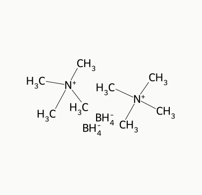 C[N+](C)(C)C.C[N+](C)(C)C.[BH4-].[BH4-]